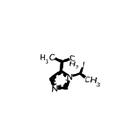 CC(C)c1cncn1C(C)I